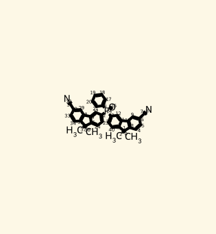 CC1(C)c2ccc(C#N)cc2-c2cc(P(=O)(c3ccccc3)c3ccc4c(c3)-c3cc(C#N)ccc3C4(C)C)ccc21